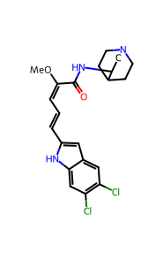 COC(=CC=Cc1cc2cc(Cl)c(Cl)cc2[nH]1)C(=O)NC1CN2CCC1CC2